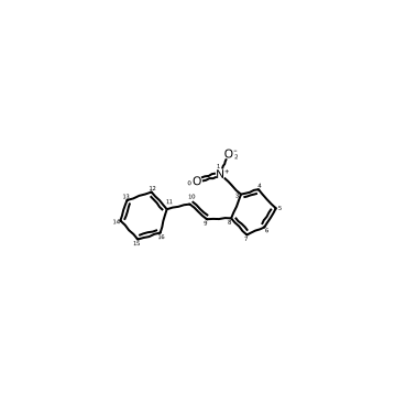 O=[N+]([O-])c1ccccc1/C=C/c1ccccc1